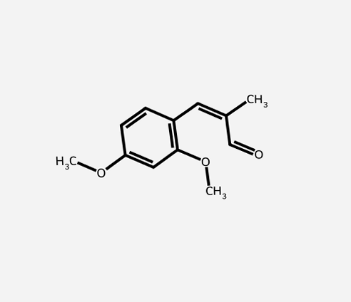 COc1ccc(C=C(C)C=O)c(OC)c1